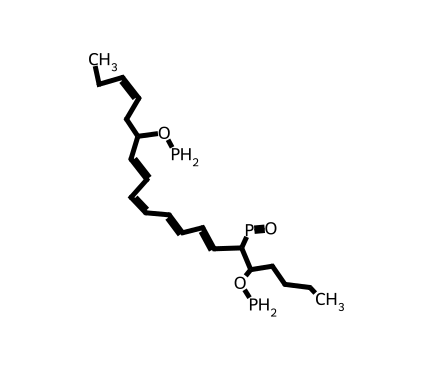 CC/C=C\CC(/C=C/C=C\C=C\C=C\C(P=O)C(CCCC)OP)OP